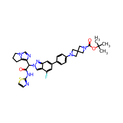 CC(C)(C)OC(=O)N1CC2(C1)CN(c1ccc(-c3cc(F)c4cn(C(C(=O)Nc5nccs5)c5ncn6c5CCC6)nc4c3)cc1)C2